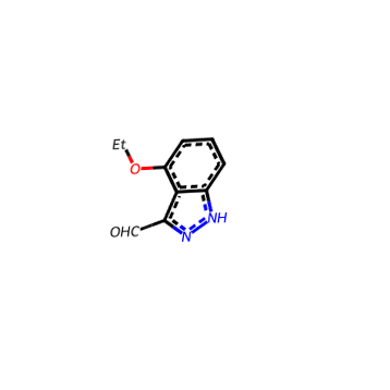 CCOc1cccc2[nH]nc(C=O)c12